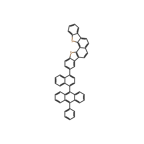 c1ccc(-c2c3ccccc3c(-c3ccc(-c4ccc5sc6c(ccc7ccc8c9ccccc9sc8c76)c5c4)c4ccccc34)c3ccccc23)cc1